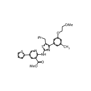 COCCOc1cc(C)cc(-c2nc(Nc3ncc(-c4cccs4)cc3C(=O)OC)sc2CC(C)C)c1